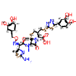 Nc1nc(/C(=N/OCc2ccc(O)c(O)c2)C(=O)N[C@@H]2C(=O)N3C(C(=O)O)=C(CSc4nnc(-c5ccc(O)c(O)c5)s4)CS[C@H]23)cs1